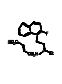 CCN(C)CCc1c(F)ccc2ccccc12.O=C(O)/C=C/C(=O)O